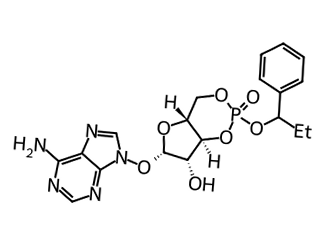 CCC(OP1(=O)OC[C@H]2O[C@@H](On3cnc4c(N)ncnc43)[C@@H](O)[C@@H]2O1)c1ccccc1